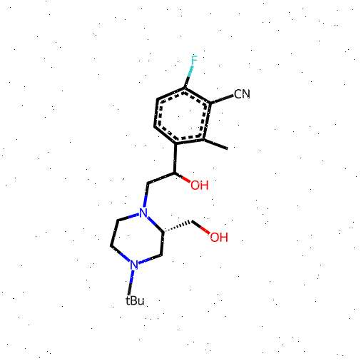 Cc1c(C(O)CN2CCN(C(C)(C)C)C[C@H]2CO)ccc(F)c1C#N